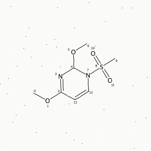 COC1=NC(OC)N(S(C)(=O)=O)C=C1